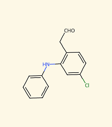 O=CCc1ccc(Cl)cc1Nc1ccccc1